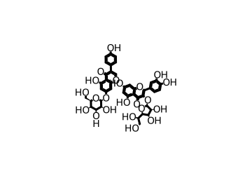 O=c1c(-c2ccc(O)cc2)coc2cc(O[C@@H]3O[C@H](CO)[C@@H](O)[C@H](O)[C@H]3O)cc(O)c12.O=c1c(O[C@@H]2O[C@H]([C@H](O)CO)[C@H](O)[C@H]2O)c(-c2ccc(O)c(O)c2)oc2cc(O)cc(O)c12